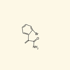 C=C(C(N)=O)c1ccccc1Br